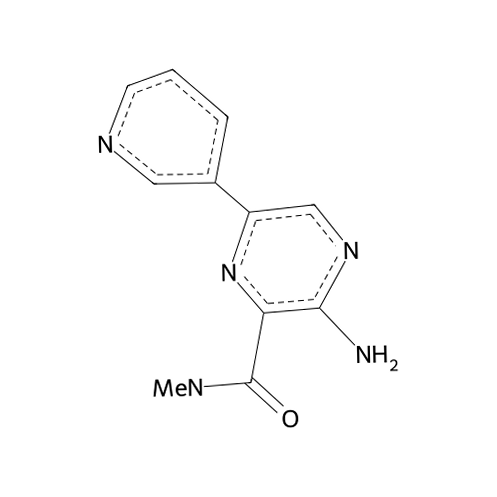 CNC(=O)c1nc(-c2cccnc2)cnc1N